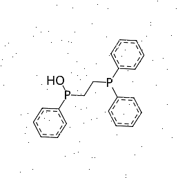 OP(CCP(c1ccccc1)c1ccccc1)c1ccccc1